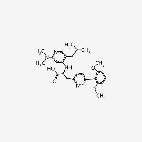 COc1cccc(OC)c1-c1ccc(C[C@H](Nc2cc(N(C)C)ncc2CC(C)C)C(=O)O)nc1